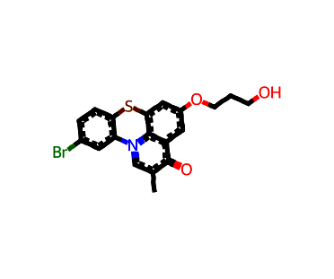 Cc1cn2c3c(cc(OCCCO)cc3c1=O)Sc1ccc(Br)cc1-2